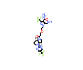 N=Cc1c(C(N)=O)c(C(F)(F)F)nn1CCOCCC(=O)N1CC[C@@H]2[C@H]1CCCN2c1ncc(C(F)(F)F)cn1